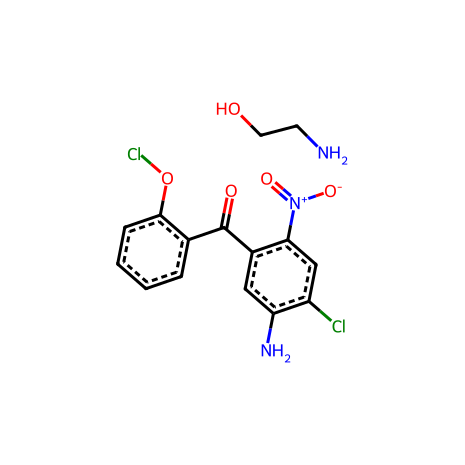 NCCO.Nc1cc(C(=O)c2ccccc2OCl)c([N+](=O)[O-])cc1Cl